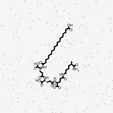 CC(CCCCNC(=O)CCC(NC(=O)CC[C@@H](NC(=O)CC[C@H](NC(=O)CCCCCCCCCCCCCCCCC(=O)O)C(=O)O)C(=O)O)C(=O)O)C(N)=O